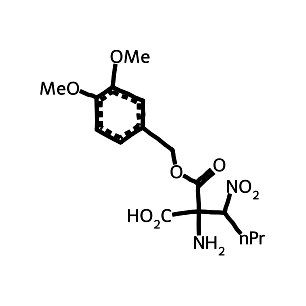 CCCC([N+](=O)[O-])C(N)(C(=O)O)C(=O)OCc1ccc(OC)c(OC)c1